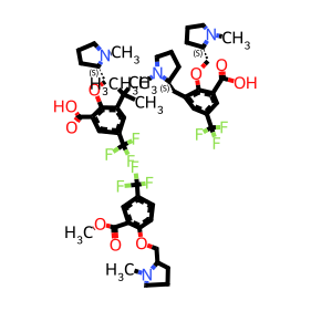 CN1CCC[C@H]1COc1c(C(=O)O)cc(C(F)(F)F)cc1C(C)(C)C.CN1CCC[C@H]1COc1c(C[C@@H]2CCCN2C)cc(C(F)(F)F)cc1C(=O)O.COC(=O)c1cc(C(F)(F)F)ccc1OCC1CCCN1C